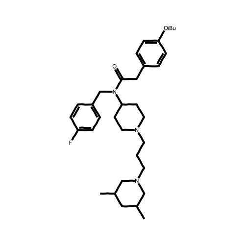 CC(C)COc1ccc(CC(=O)N(Cc2ccc(F)cc2)C2CCN(CCCN3CC(C)CC(C)C3)CC2)cc1